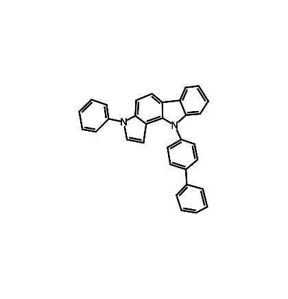 c1ccc(-c2ccc(-n3c4ccccc4c4ccc5c(ccn5-c5ccccc5)c43)cc2)cc1